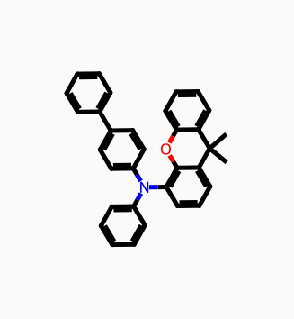 CC1(C)c2ccccc2Oc2c(N(c3ccccc3)c3ccc(-c4ccccc4)cc3)cccc21